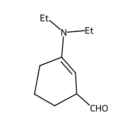 CCN(CC)C1=CC(C=O)CCC1